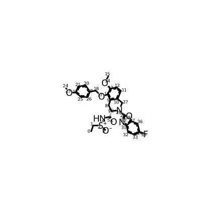 CC[S+]([O-])NC(=O)[C@@H]1Cc2c(ccc(OC)c2OCc2ccc(OC)cc2)CN1c1nc2ccc(F)cc2o1